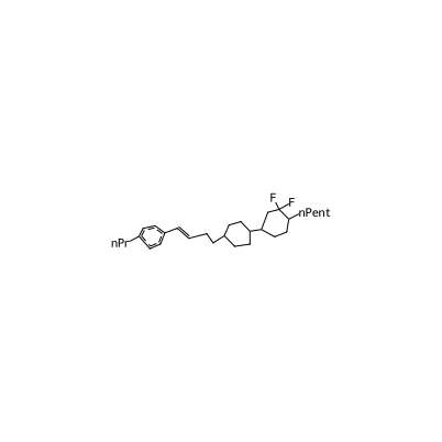 CCCCCC1CCC(C2CCC(CC/C=C/c3ccc(CCC)cc3)CC2)CC1(F)F